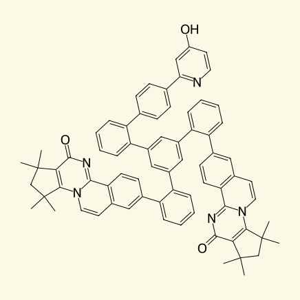 CC1(C)CC(C)(C)c2c1c(=O)nc1c3ccc(-c4ccccc4-c4cc(-c5ccccc5-c5ccc(-c6cc(O)ccn6)cc5)cc(-c5ccccc5-c5ccc6c(ccn7c8c(c(=O)nc67)C(C)(C)CC8(C)C)c5)c4)cc3ccn21